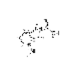 CNc1cccc2[nH]c(C(=O)O)cc12